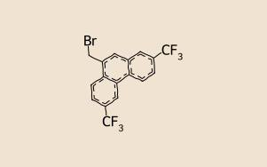 FC(F)(F)c1ccc2c(c1)cc(CBr)c1ccc(C(F)(F)F)cc12